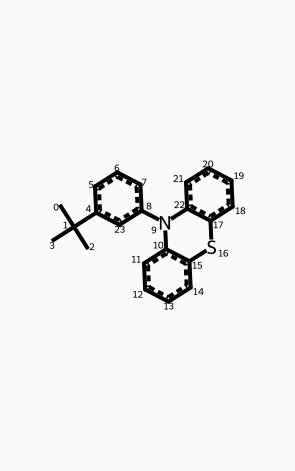 CC(C)(C)c1cccc(N2c3ccccc3Sc3ccccc32)c1